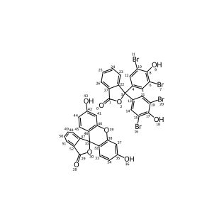 O=C1OC(c2cc(Br)c(O)c(Br)c2)(c2cc(Br)c(O)c(Br)c2)c2ccccc21.O=C1OC2(c3ccc(O)cc3Oc3cc(O)ccc32)c2ccccc21